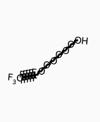 OCCOCCOCCOCCOCCOCCOCCC(F)(F)C(F)(F)C(F)(F)C(F)(F)C(F)(F)C(F)(F)F